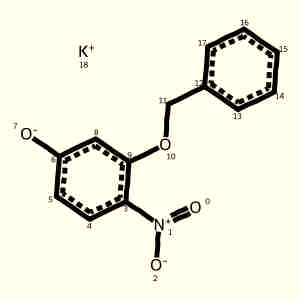 O=[N+]([O-])c1ccc([O-])cc1OCc1ccccc1.[K+]